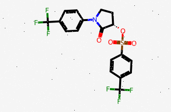 O=C1[C@@H](OS(=O)(=O)c2ccc(C(F)(F)F)cc2)CCN1c1ccc(C(F)(F)F)cc1